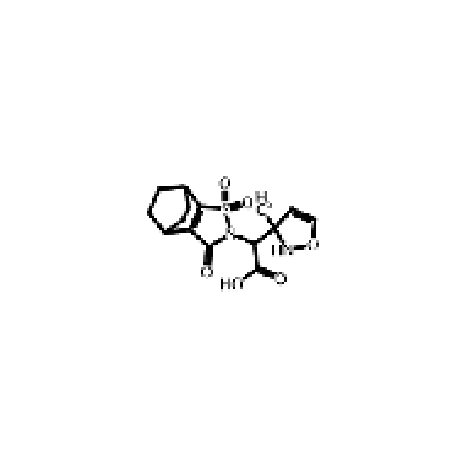 CC1(C(C(=O)O)N2C(=O)C3=C(C4CCC3CC4)S2(=O)=O)C=CON1